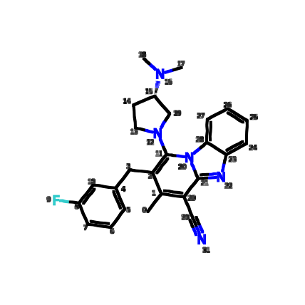 Cc1c(Cc2cccc(F)c2)c(N2CC[C@H](N(C)C)C2)n2c(nc3ccccc32)c1C#N